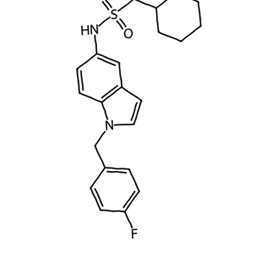 O=S(=O)(CC1CCCCC1)Nc1ccc2c(ccn2Cc2ccc(F)cc2)c1